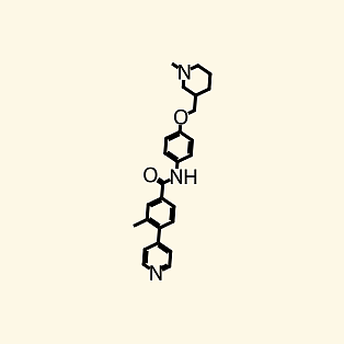 Cc1cc(C(=O)Nc2ccc(OCC3CCCN(C)C3)cc2)ccc1-c1ccncc1